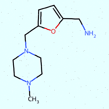 CN1CCN(Cc2ccc(CN)o2)CC1